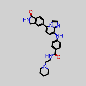 O=C(NCCN1CCCCC1)c1ccc(Nc2ccc(-c3ccc4c(c3)CNC4=O)n3ccnc23)cc1